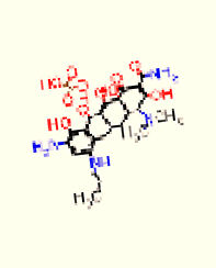 CCCNc1cc(N)c(O)c2c1CC1CC3[C@H](N(C)C)C(O)=C(C(N)=O)C(=O)[C@@]3(O)C(O)=C1C2=O.O=S(=O)(O)O